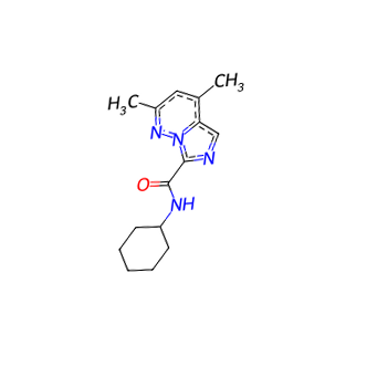 Cc1cc(C)c2cnc(C(=O)NC3CCCCC3)n2n1